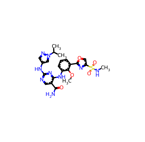 CNS(=O)(=O)c1coc(-c2cccc(Nc3nc(Nc4cnn(C(C)C)c4)ncc3C(N)=O)c2OC)n1